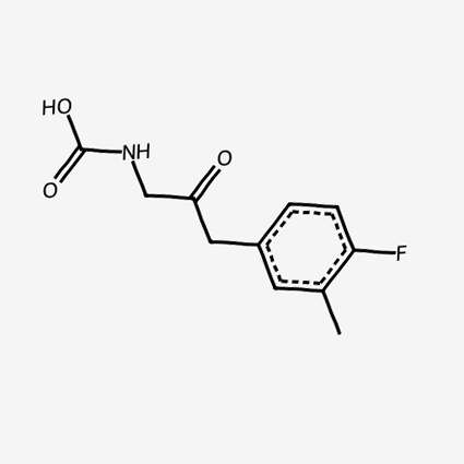 Cc1cc(CC(=O)CNC(=O)O)ccc1F